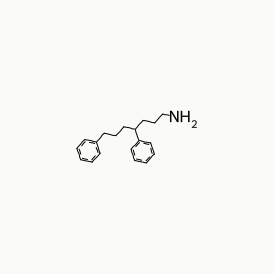 NCCCC(CCCc1ccccc1)c1ccccc1